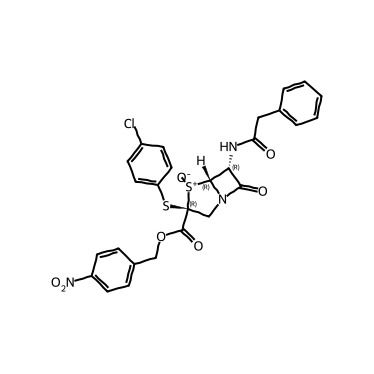 O=C(Cc1ccccc1)N[C@@H]1C(=O)N2C[C@](Sc3ccc(Cl)cc3)(C(=O)OCc3ccc([N+](=O)[O-])cc3)[S+]([O-])[C@H]12